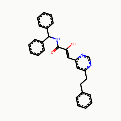 O=C(NC(c1ccccc1)c1ccccc1)/C(O)=C/c1cc(CCc2ccccc2)ncn1